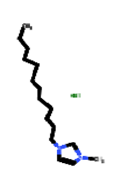 CCCCCCCCCCCCN1C=CN(C)C1.Cl